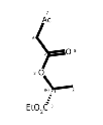 CCOC(=O)[C@@H](C)OC(=O)CC(C)=O